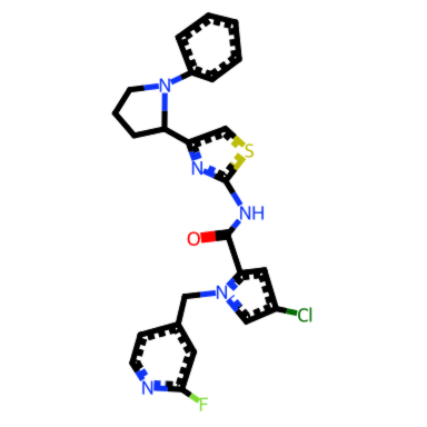 O=C(Nc1nc(C2CCCN2c2ccccc2)cs1)c1cc(Cl)cn1Cc1ccnc(F)c1